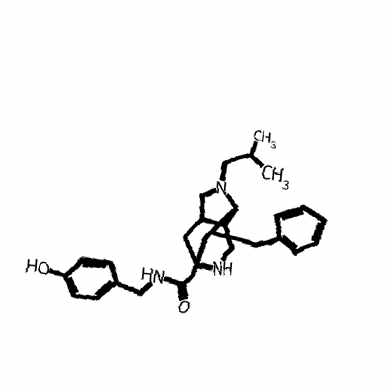 CC(C)CN1CC2CC3(C(=O)NCc4ccc(O)cc4)NCC2C1C3Cc1ccccc1